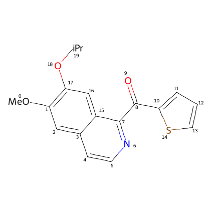 COc1cc2ccnc(C(=O)c3cccs3)c2cc1OC(C)C